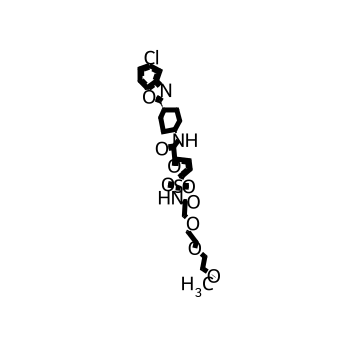 COCCOCCOCC(=O)NS(=O)(=O)c1ccc(C(=O)N[C@H]2CC[C@@H](c3nc4cc(Cl)ccc4o3)CC2)o1